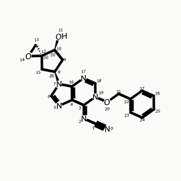 N#CN=c1c2ncn([C@@H]3C[C@H](O)[C@@]4(CO4)C3)c2ncn1OCc1ccccc1